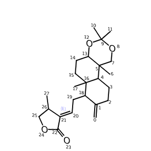 C=C1CCC2C3(C)COC(C)(C)OC3CCC2(C)C1C/C=C1/C(=O)OCC1C